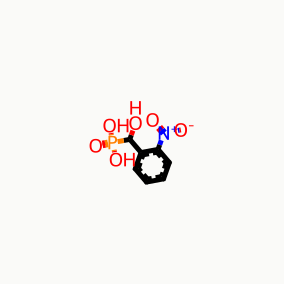 O=[N+]([O-])c1ccccc1C(O)P(=O)(O)O